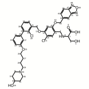 O=C(O)C(CO)NCc1cc(Cl)c(OCc2cccc(-c3cccc(OCCCCN4CCC(O)CC4)c3)c2Cl)cc1OCc1ccc2nonc2c1